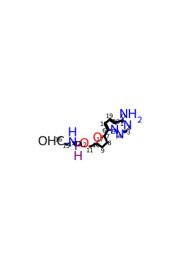 Nc1ncnn2c(C3CCC(COPNCC=O)O3)ccc12